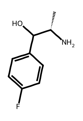 C[C@H](N)C(O)c1ccc(F)cc1